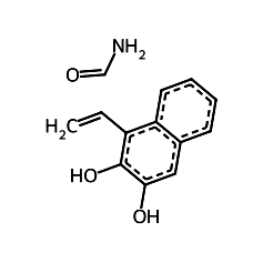 C=Cc1c(O)c(O)cc2ccccc12.NC=O